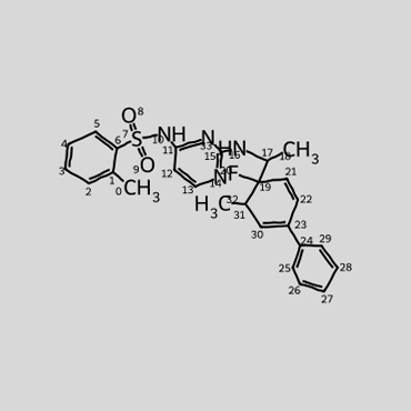 Cc1ccccc1S(=O)(=O)Nc1ccnc(NC(C)C2(F)C=CC(c3ccccc3)=CC2C)n1